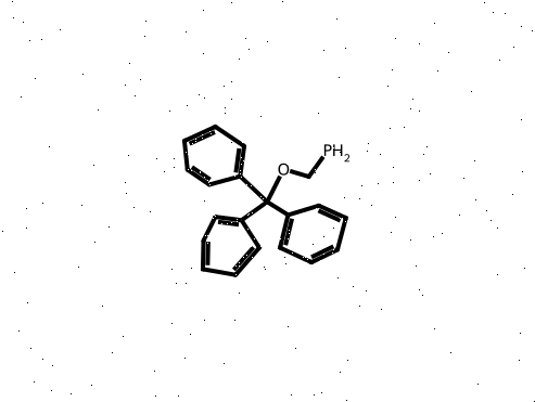 PCOC(c1ccccc1)(c1ccccc1)c1ccccc1